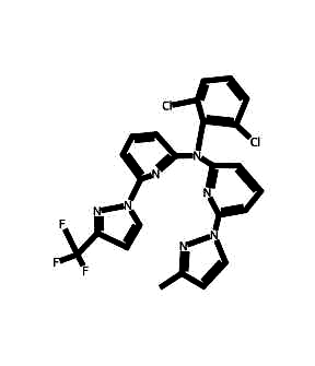 Cc1ccn(-c2cccc(N(c3cccc(-n4ccc(C(F)(F)F)n4)n3)c3c(Cl)cccc3Cl)n2)n1